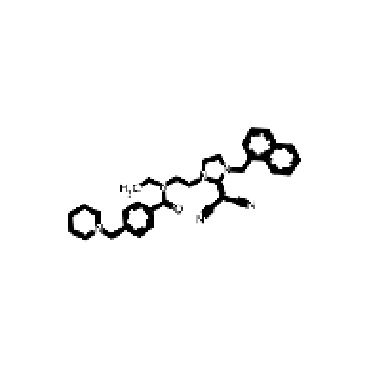 CCN(CCN1CCN(Cc2cccc3ccccc23)C1=C(C#N)C#N)C(=O)c1ccc(CN2CCCCC2)cc1